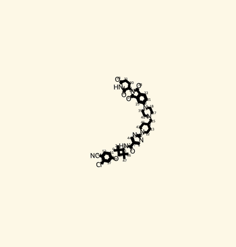 CC1(C)C(NC(=O)c2cnc(N3CCC(CN4CCN(c5ccc6c(c5)C(=O)N(C5CCC(=O)NC5=O)C6=O)CC4)CC3)nc2)C(C)(C)C1Oc1ccc(C#N)c(Cl)c1